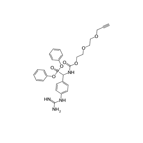 C#CCOCCOCCOC(=O)NC(c1ccc(NC(=N)N)cc1)P(=O)(Oc1ccccc1)Oc1ccccc1